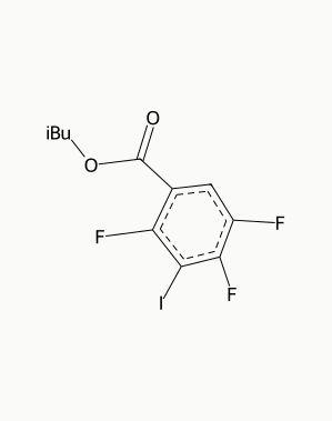 CCC(C)OC(=O)c1cc(F)c(F)c(I)c1F